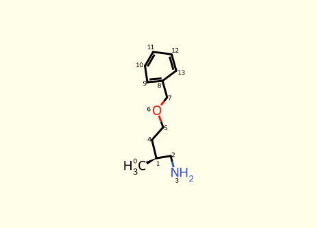 C[C@H](CN)CCOCc1ccccc1